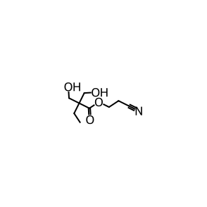 CCC(CO)(CO)C(=O)OCCC#N